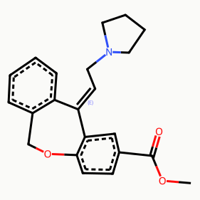 COC(=O)c1ccc2c(c1)/C(=C/CN1CCCC1)c1ccccc1CO2